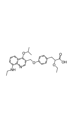 CCNc1cccc2c(OC(C)C)c(COc3ccc(CC(OCC)C(=O)O)cc3)cnc12